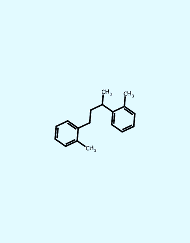 Cc1ccccc1CCC(C)c1ccccc1C